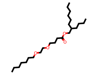 CCCCCCCOCCOCCCC(=O)OCC(CCCC)CCCCCC